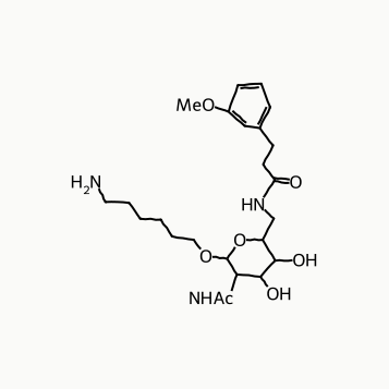 COc1cccc(CCC(=O)NCC2OC(OCCCCCCN)C(NC(C)=O)C(O)C2O)c1